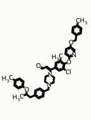 Cc1ccc(COc2ccc(Oc3c(C)cc(C(=CC=O)N4CCN(Cc5ccc(CC(C)Oc6ccc(C)cc6)cc5)CC4)cc3Cl)nc2)cc1